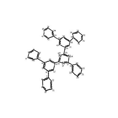 c1ccc(-c2cc(-c3ccccc3)cc(-c3nc(-c4ccccc4)nc(-c4cc(-c5ccccc5)cc(-c5ccccc5)c4)n3)c2)cc1